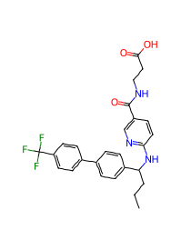 CCCC(Nc1ccc(C(=O)NCCC(=O)O)cn1)c1ccc(-c2ccc(C(F)(F)F)cc2)cc1